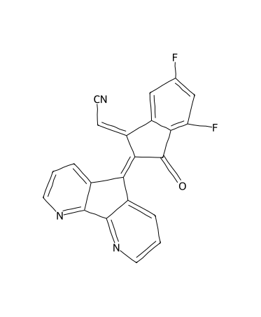 N#C/C=C1/C(=C2c3cccnc3-c3ncccc32)C(=O)c2c(F)cc(F)cc21